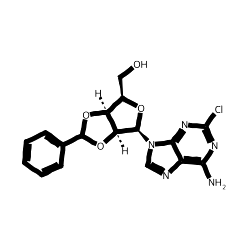 Nc1nc(Cl)nc2c1ncn2[C@@H]1O[C@H](CO)[C@@H]2OC(c3ccccc3)O[C@@H]21